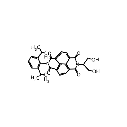 CC(C)c1cccc(C(C)C)c1N1C(=O)c2ccc3c4c(ccc(c24)C1=O)C(=O)N(C(CO)CO)C3=O